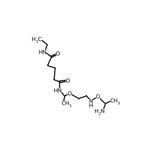 CCNC(=O)CCCC(=O)NC(C)OCCNOC(C)N